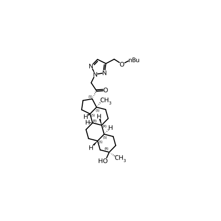 CCCCOCc1cnn(CC(=O)[C@H]2CC[C@H]3[C@@H]4CC[C@H]5C[C@](C)(O)CC[C@@H]5[C@H]4CC[C@]23C)n1